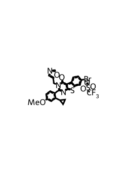 COc1ccc(-c2nc3sc4c(OS(=O)(=O)C(F)(F)F)c(Br)ccc4c3c(=O)n2Cc2cnco2)c(C2CC2)c1